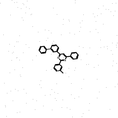 Cc1cccc(-c2nc(-c3ccccc3)cc(-c3cccc(-c4ccccc4)c3)n2)c1